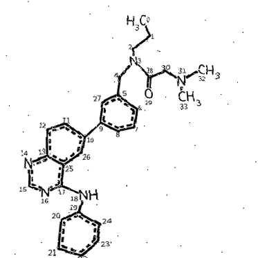 CCCN(Cc1cccc(-c2ccc3ncnc(Nc4ccccc4)c3c2)c1)C(=O)CN(C)C